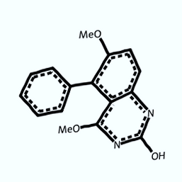 COc1ccc2nc(O)nc(OC)c2c1-c1ccccc1